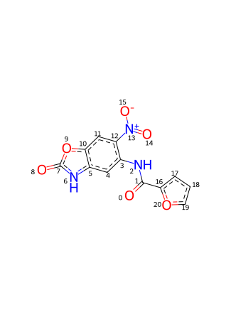 O=C(Nc1cc2[nH]c(=O)oc2cc1[N+](=O)[O-])c1ccco1